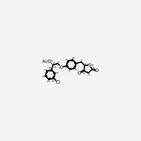 CC(=O)O[C@H](COc1ccc(CC2SC(=O)CC2=O)cc1)c1cccc(Cl)c1